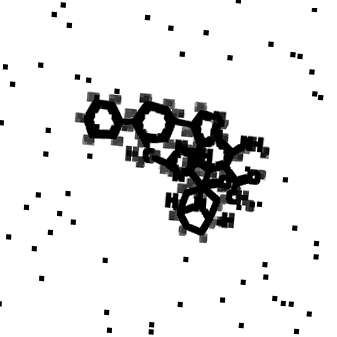 CC(=O)c1c([C@H]2C[C@H]3CC[C@@H](C2)N3C(=O)c2nc(C)n[nH]2)nc2c(-c3ccc(-c4ccccc4)nc3)cnn2c1N